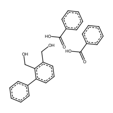 O=C(O)c1ccccc1.O=C(O)c1ccccc1.OCc1cccc(-c2ccccc2)c1CO